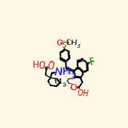 CC1=C(CC(=O)O)c2cc(F)ccc2/C1=C\c1ccc([S+](C)[O-])cc1.NCC1(CC(=O)O)CCCCC1